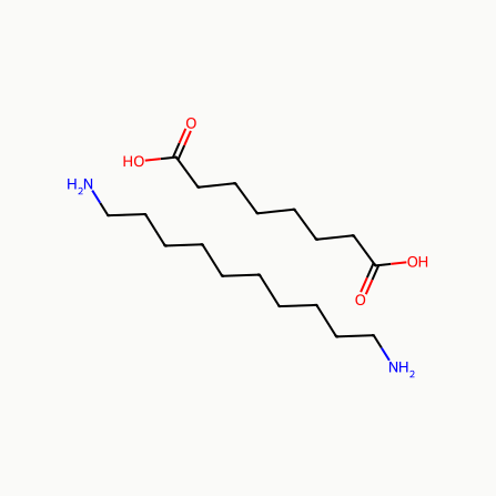 NCCCCCCCCCCN.O=C(O)CCCCCCC(=O)O